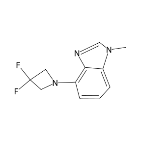 Cn1cnc2c(N3CC(F)(F)C3)cccc21